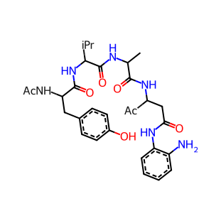 CC(=O)NC(Cc1ccc(O)cc1)C(=O)NC(C(=O)NC(C)C(=O)NC(CC(=O)Nc1ccccc1N)C(C)=O)C(C)C